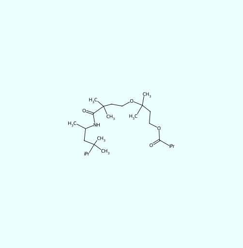 CC(CC(C)(C)C(C)C)NC(=O)C(C)(C)CCOC(C)(C)CCOC(=O)C(C)C